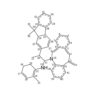 C=C1/C=c2/cccc/c2=C/N(C(NC2=C(C)C=CCC2)C(C)C2=CC3C(C=C2)c2ccccc2C3(C)C)c2ccccc21